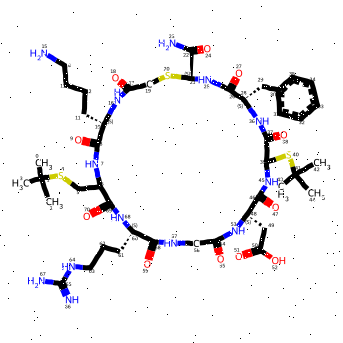 CC(C)(C)SCC1NC(=O)[C@H](CCCCN)NC(=O)CS[C@@H](C(N)=O)NC(=O)[C@H](Cc2ccccc2)NC(=O)C(SC(C)(C)C)NC(=O)[C@H](CC(=O)O)NC(=O)CNC(=O)[C@H](CCCNC(=N)N)NC1=O